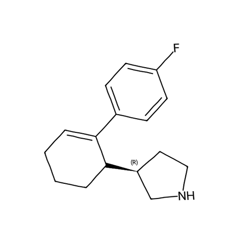 Fc1ccc(C2=CCCCC2[C@H]2CCNC2)cc1